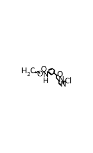 C=CCOC(=O)Nc1cccc(C(=O)Cc2ccnc(Cl)n2)c1